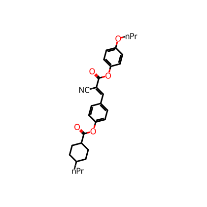 CCCOc1ccc(OC(=O)C(C#N)=Cc2ccc(OC(=O)C3CCC(CCC)CC3)cc2)cc1